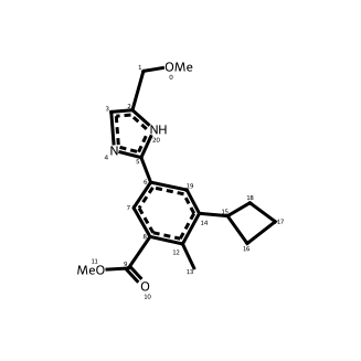 COCc1cnc(-c2cc(C(=O)OC)c(C)c(C3CCC3)c2)[nH]1